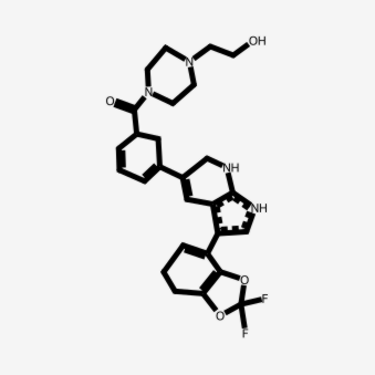 O=C(C1C=CC=C(C2=Cc3c(C4=CCCC5=C4OC(F)(F)O5)c[nH]c3NC2)C1)N1CCN(CCO)CC1